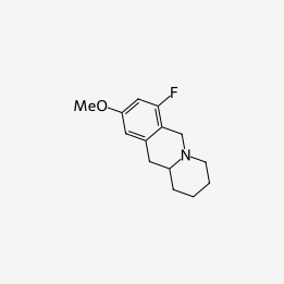 COc1cc(F)c2c(c1)CC1CCCCN1C2